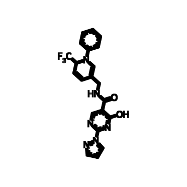 O=C(NCC1=CN(c2ccccc2)C(C(F)(F)F)C=C1)c1cnc(-n2cccn2)nc1O